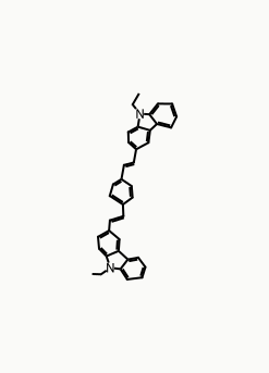 CCn1c2ccccc2c2cc(C=Cc3ccc(C=Cc4ccc5c(c4)c4ccccc4n5CC)cc3)ccc21